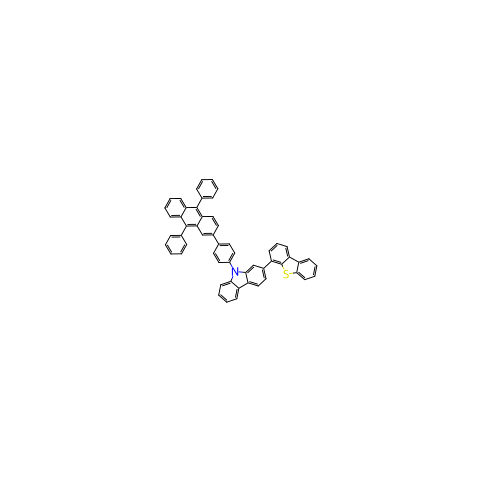 c1ccc(-c2c3ccccc3c(-c3ccccc3)c3cc(-c4ccc(-n5c6ccccc6c6ccc(-c7cccc8c7sc7ccccc78)cc65)cc4)ccc23)cc1